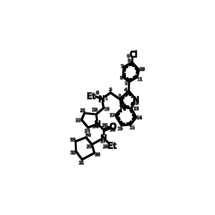 CCN(Cc1c(-c2ccc(Cl)cc2)nc2ccccn12)CC1CCCN1C(=O)N(CC)C1CCCCC1